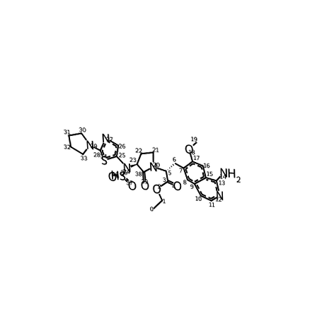 CCOC(=O)[C@@H](Cc1cc2ccnc(N)c2cc1OC)N1CC[C@H](N(c2cnc(N3CCCC3)s2)[SH](=O)=O)C1=O